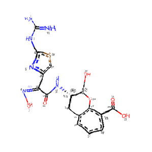 N=C(N)Nc1nc(/C(=N/O)C(=O)N[C@H]2Cc3cccc(C(=O)O)c3OB2O)cs1